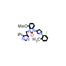 COc1cccc2c1n(Cc1cncnc1C(C)C)c(=O)n2[C@@H]1CCN(c2c(C)cccc2F)C1